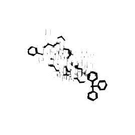 CC[C@H](C)[C@@H]([C@@H](CC(=O)N1CCC[C@H]1[C@H](OC)[C@H](C)C(=O)N[C@H](C[SH]1C=NC(C(=O)NCCNC(=O)CCSC(c2ccccc2)(c2ccccc2)c2ccccc2)=C1)c1ccccc1)OC)N(C)C(=O)[C@@H](NC(=O)[C@H](C(C)C)N(C)C)C(C)C